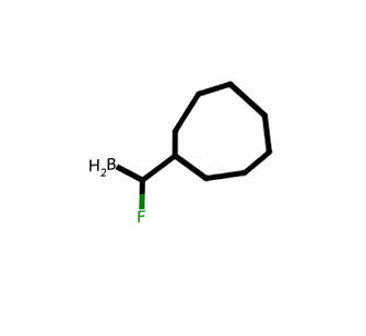 BC(F)C1CCCCCCC1